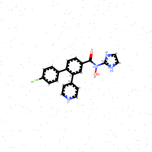 O=C(c1ccc(-c2ccc(F)cc2)c(-c2ccncc2)c1)N(O)c1ncc[nH]1